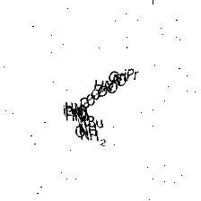 CC(C)CC1CC(=O)N(CCC(=O)NCCOCCOCCOCCOCCC(=O)N[C@H](C(=O)N[C@@H](CCCNC(N)=O)C(=O)C(C)(C)C)C(C)C)C1=O